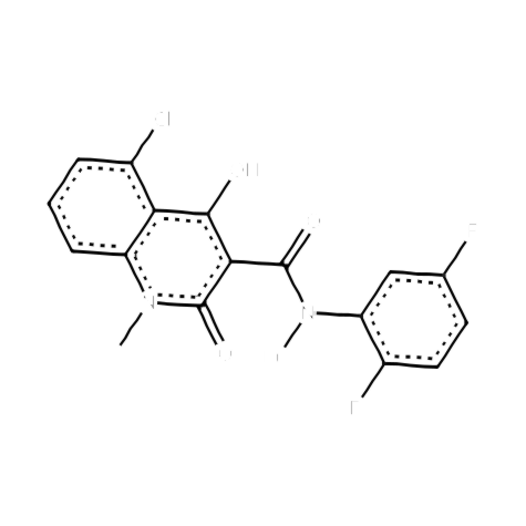 CCN(C(=O)c1c(O)c2c(Cl)cccc2n(C)c1=O)c1cc(F)ccc1F